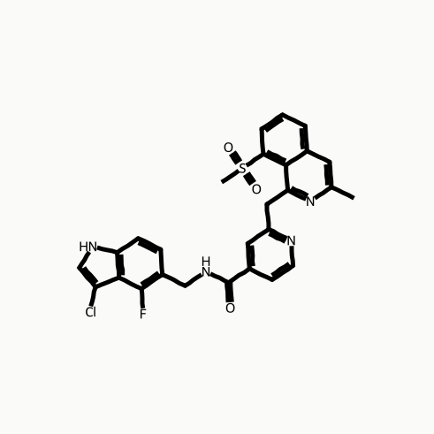 Cc1cc2cccc(S(C)(=O)=O)c2c(Cc2cc(C(=O)NCc3ccc4[nH]cc(Cl)c4c3F)ccn2)n1